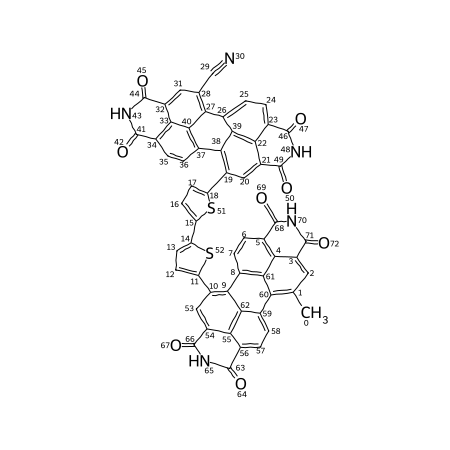 Cc1cc2c3c(ccc4c5c(-c6ccc(-c7ccc(-c8cc9c%10c(ccc%11c%12c(C#N)cc%13c%14c(ccc(c8c%10%11)c%14%12)C(=O)NC%13=O)C(=O)NC9=O)s7)s6)cc6c7c(ccc(c1c34)c75)C(=O)NC6=O)C(=O)NC2=O